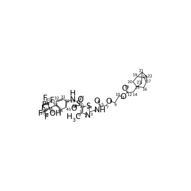 Cc1nc(NC(=O)COCCOC(=O)CC23CC4CC(C2)C(C4)C3)sc1S(=O)(=O)Nc1ccc(C(O)(C(F)(F)F)C(F)(F)F)cc1